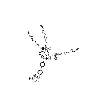 C#CCOCCOCCNC(=O)CCC(CCC(=O)NCCOCCOCC#C)(CCC(=O)NCCOCCOCC#C)NC(=O)c1ccc(-c2ccc(OP(=O)(S)C(C)C)cc2)cc1